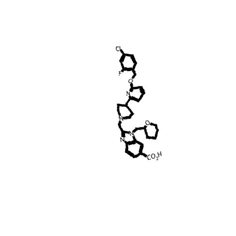 O=C(O)c1ccc2nc(CN3CCC(c4cccc(OCc5ccc(Cl)cc5F)n4)CC3)n(CC3CCCCO3)c2c1